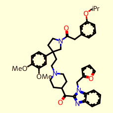 COc1ccc(C2(CCN3CCC(C(=O)c4nc5ccccc5n4Cc4ccco4)CC3)CCN(C(=O)Cc3cccc(OC(C)C)c3)C2)cc1OC